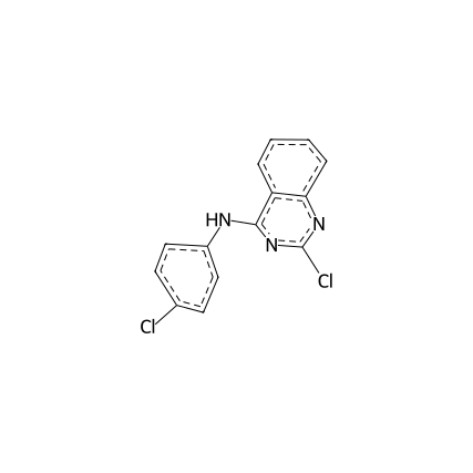 Clc1ccc(Nc2nc(Cl)nc3ccccc23)cc1